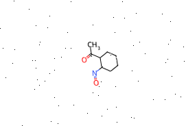 CC(=O)C1CCCCC1N=O